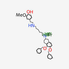 CCCN(CCCCCCNCCc1ccc(O)c(OC)c1)C1CCc2c(ccc(OCc3ccccc3)c2OCc2ccccc2)C1.Cl.Cl